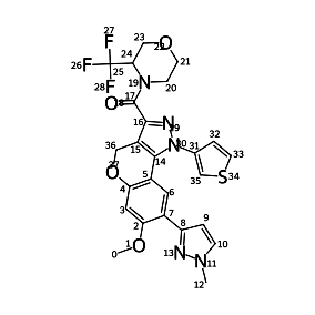 COc1cc2c(cc1-c1ccn(C)n1)-c1c(c(C(=O)N3CCOCC3C(F)(F)F)nn1-c1ccsc1)CO2